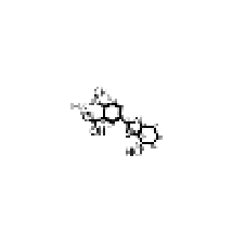 CN(C)c1ccc(-c2nc3c(s2)C(O)CCC3)cc1C(=O)O